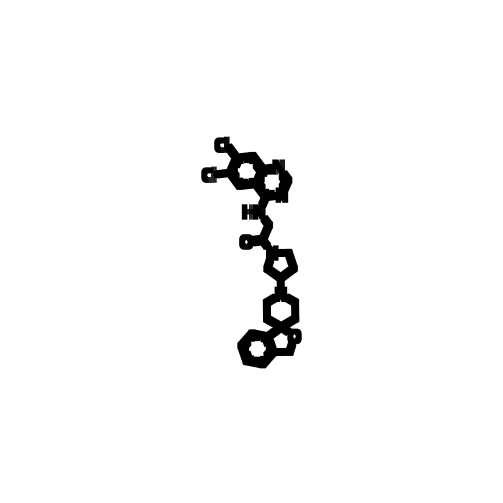 O=C(CNc1ncnc2cc(Cl)c(Cl)cc12)N1CCC(N2CCC3(CC2)OCc2ccccc23)C1